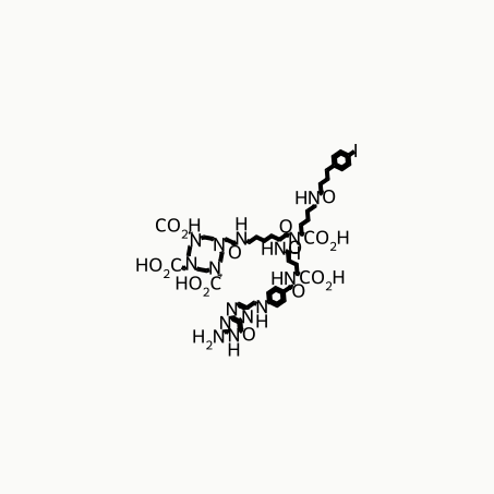 Nc1nc2ncc(CNc3ccc(C(=O)NC(CCC(=O)NC(CCCCNC(=O)CN4CCN(CC(=O)O)CCN(CC(=O)O)CCN(CC(=O)O)CC4)C(=O)NC(CCCCNC(=O)CCCc4ccc(I)cc4)C(=O)O)C(=O)O)cc3)nc2c(=O)[nH]1